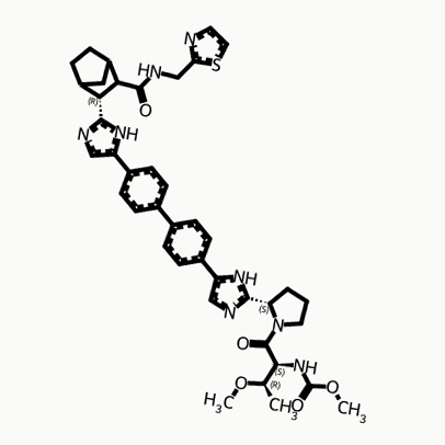 COC(=O)N[C@H](C(=O)N1CCC[C@H]1c1ncc(-c2ccc(-c3ccc(-c4cnc([C@@H]5C6CCC(C6)C5C(=O)NCc5nccs5)[nH]4)cc3)cc2)[nH]1)[C@@H](C)OC